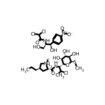 CCC[C@@H]1C[C@@H](C(=O)NC(C(C)Cl)[C@H]2O[C@H](SC)[C@H](O)[C@@H](O)[C@H]2O)N(C)C1.O=C(N[C@H](CO)[C@H](O)c1ccc([N+](=O)[O-])cc1)C(Cl)Cl